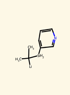 [Li][C](C)(C)[SiH2]c1cccnc1